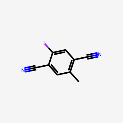 Cc1cc(C#N)c(I)cc1C#N